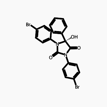 O=C1N(c2ccc(Br)cc2)C(=O)[C@](O)(c2ccccc2)N1c1ccc(Br)cc1